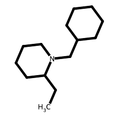 CCC1CCCCN1CC1CCCCC1